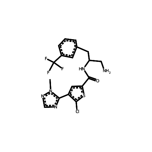 Cn1ncnc1-c1cc(C(=O)NC(CN)Cc2cccc(C(F)(F)F)c2)sc1Cl